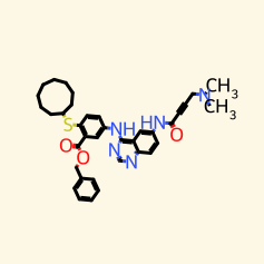 CN(C)CC#CC(=O)Nc1ccc2ncnc(Nc3ccc(SC4CCCCCCCC4)c(C(=O)OCc4ccccc4)c3)c2c1